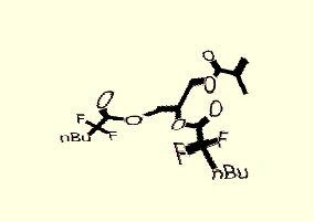 C=C(C)C(=O)OCC(COC(=O)C(F)(F)CCCC)OC(=O)C(F)(F)CCCC